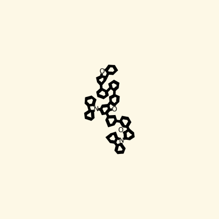 c1cc(-c2cc(-n3c4ccccc4c4ccccc43)cc3c2oc2ccc(-c4ccccc4-c4ccccc4-c4ccc5oc6ccccc6c5c4)cc23)cc(-c2cccc3c2oc2c(-n4c5ccccc5c5ccccc54)cccc23)c1